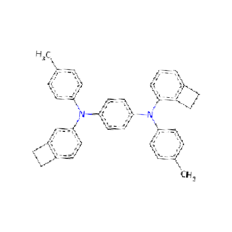 Cc1ccc(N(c2ccc(N(c3ccc(C)cc3)c3cccc4c3CC4)cc2)c2ccc3c(c2)CC3)cc1